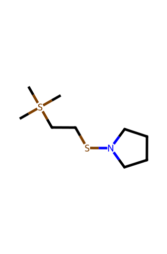 CS(C)(C)CCSN1CCCC1